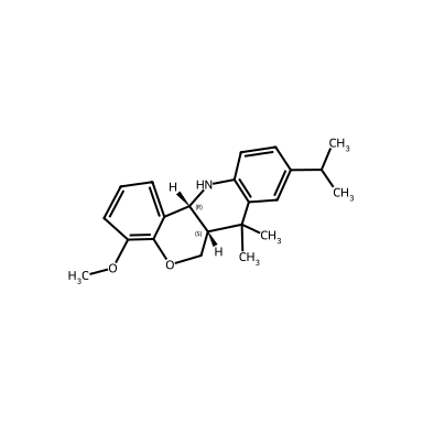 COc1cccc2c1OC[C@@H]1[C@H]2Nc2ccc(C(C)C)cc2C1(C)C